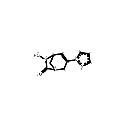 O=C1N2CC(n3cccn3)=CC(C2)N1O